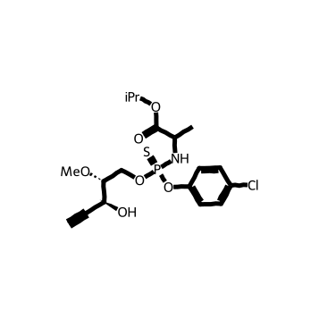 C#C[C@H](O)[C@@H](COP(=S)(NC(C)C(=O)OC(C)C)Oc1ccc(Cl)cc1)OC